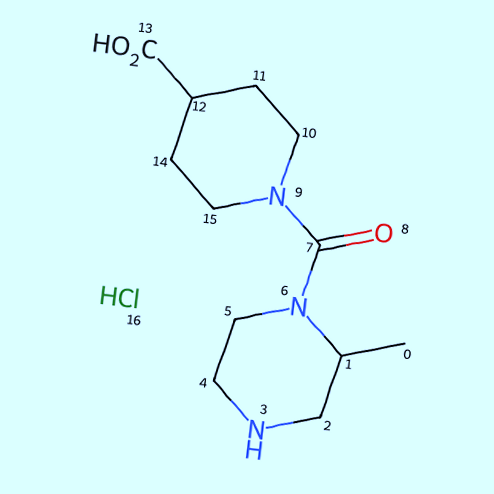 CC1CNCCN1C(=O)N1CCC(C(=O)O)CC1.Cl